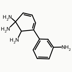 Nc1cccc(C2=CC=CC(N)(N)C2N)c1